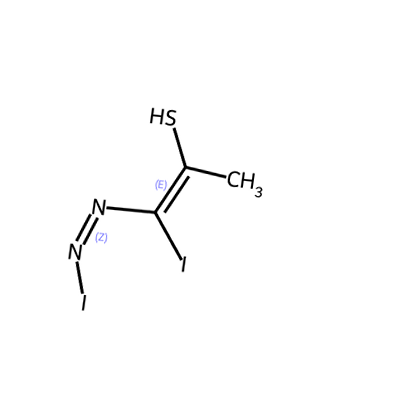 C/C(S)=C(I)/N=N\I